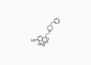 O=C(CCN1CCC(Cc2ccccc2)CC1)c1ccc(O)c(O)c1[N+](=O)[O-]